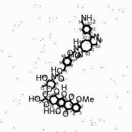 COc1cccc2c1C(=O)c1c(O)c3c(c(O)c1C2=O)C[C@@](O)(C(=O)CO)C[C@@H]3OC1CC(NC(=O)OCc2ccc(OC(=O)NC3CCC4C(c5ccc(CN)cc5)=NN=CC4CCC3N)cc2)C(O)C(C)O1